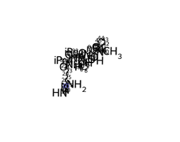 CCCC(NC(=O)[C@@H]1[C@H]2CCC[C@H]2CN1C(=O)[C@@H](NC(=O)[C@H](NC(=O)CCCC/C(N)=N/N=N)C(C)C)C(C)C)C(=O)C(=O)N[C@H](C)c1ccccc1